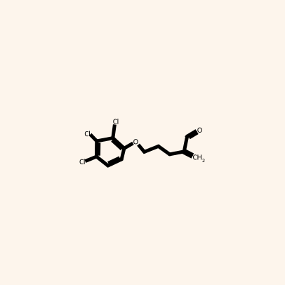 C=C([C]=O)CCCOc1ccc(Cl)c(Cl)c1Cl